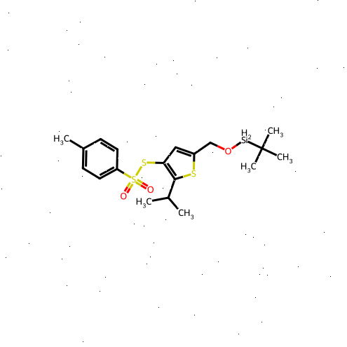 Cc1ccc(S(=O)(=O)Sc2cc(CO[SiH2]C(C)(C)C)sc2C(C)C)cc1